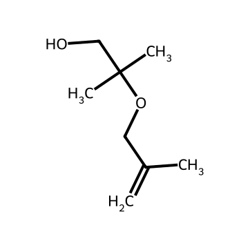 C=C(C)COC(C)(C)CO